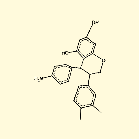 Cc1ccc(C2COc3cc(O)cc(O)c3C2c2ccc(N)cc2)cc1C